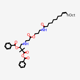 CCCCCCCC/C=C\CCCCCCCC(=O)NCCCOC(=O)CCNCC(OC(=O)c1ccccc1)C(C)(C)C(=O)OC(=O)c1ccccc1